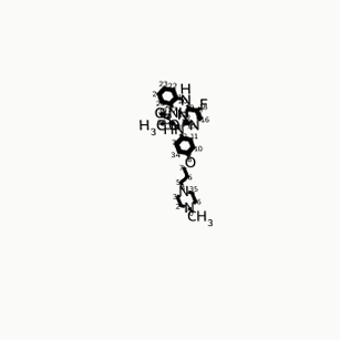 CN1CCN(CCCOc2ccc(Nc3ncc(F)c(Nc4ccccc4NS(C)(=O)=O)n3)cc2)CC1